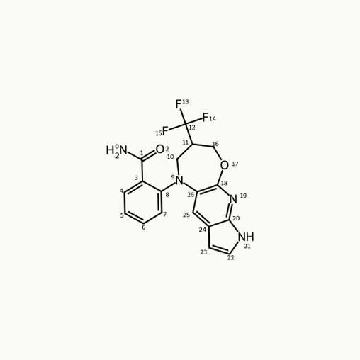 NC(=O)c1ccccc1N1CC(C(F)(F)F)COc2nc3[nH]ccc3cc21